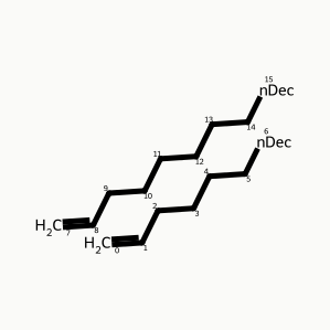 C=CCCCCCCCCCCCCCC.C=CCCCCCCCCCCCCCCCC